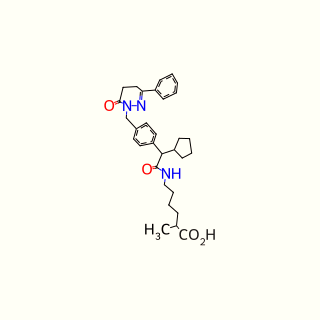 CC(CCCCNC(=O)C(c1ccc(CN2N=C(c3ccccc3)CCC2=O)cc1)C1CCCC1)C(=O)O